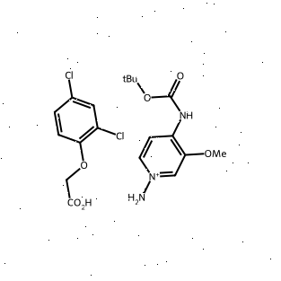 COc1c[n+](N)ccc1NC(=O)OC(C)(C)C.O=C(O)COc1ccc(Cl)cc1Cl